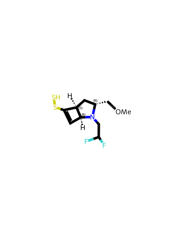 COC[C@H]1C[C@@H]2C(SS)=C[C@@H]2N1CC(F)F